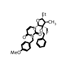 CC[C@H]1O[C@@H](n2ccc(=O)n(Cc3ccc(OC)cc3)c2=O)[C@](CF)(OCc2ccccc2)[C@@H]1C